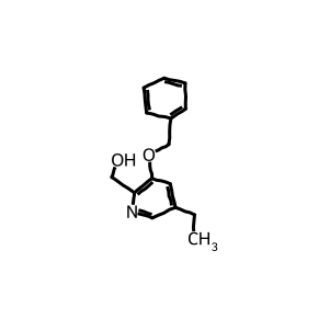 CCc1cnc(CO)c(OCc2ccccc2)c1